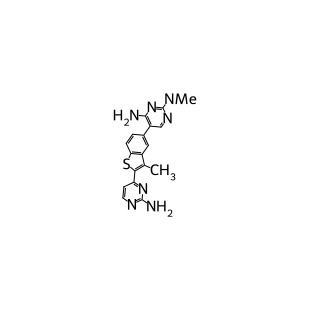 CNc1ncc(-c2ccc3sc(-c4ccnc(N)n4)c(C)c3c2)c(N)n1